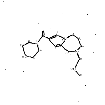 C=C(c1cc2n(n1)CCCN(COC)C2)N1CCOCC1